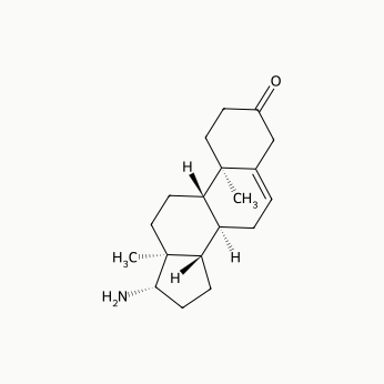 C[C@]12CC[C@H]3[C@@H](CC=C4CC(=O)CC[C@@]43C)[C@@H]1CC[C@@H]2N